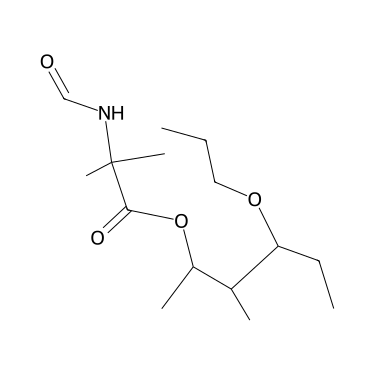 CCCOC(CC)C(C)C(C)OC(=O)C(C)(C)NC=O